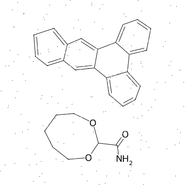 NC(=O)C1OCCCCCO1.c1ccc2cc3c4ccccc4c4ccccc4c3cc2c1